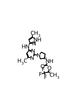 Cc1cc(Nc2cc(C)[nH]n2)nc(N2CC[C@H](NC(=O)O[C@@H](C)C(F)(F)F)C2)n1